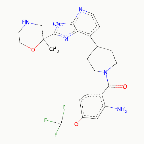 CC1(c2nc3c(C4CCN(C(=O)c5ccc(OC(F)(F)F)cc5N)CC4)ccnc3[nH]2)CNCCO1